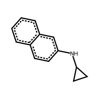 c1ccc2cc(NC3CC3)ccc2c1